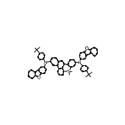 CC(C)(C)c1ccc(N(c2ccc3c(c2)[Si](C)(C)c2cccc4c2c-3cc2ccc(N(c3ccc(C(C)(C)C)cc3)c3ccc5oc6ccccc6c5c3)cc24)c2ccc3oc4ccccc4c3c2)cc1